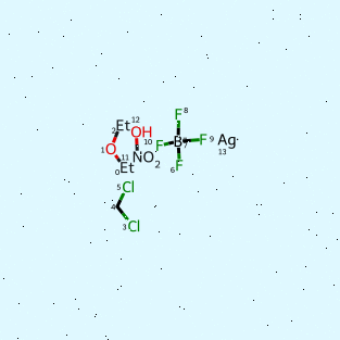 CCOCC.ClCCl.F[B-](F)(F)F.O=[N+]([O-])O.[Ag]